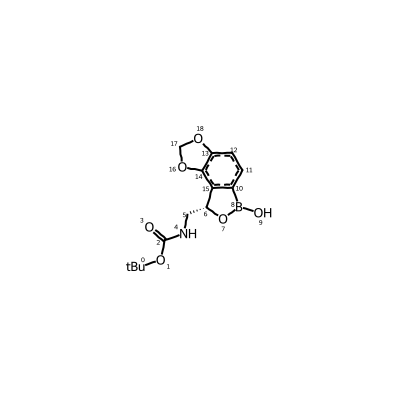 CC(C)(C)OC(=O)NC[C@H]1OB(O)c2ccc3c(c21)OCO3